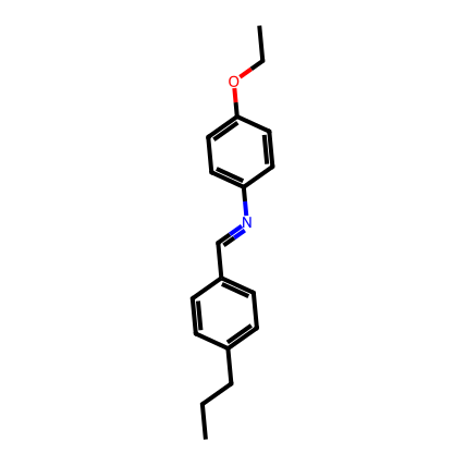 CCCc1ccc(C=Nc2ccc(OCC)cc2)cc1